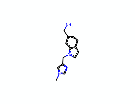 Cn1cnc(Cn2ccc3ccc(CN)cc32)c1